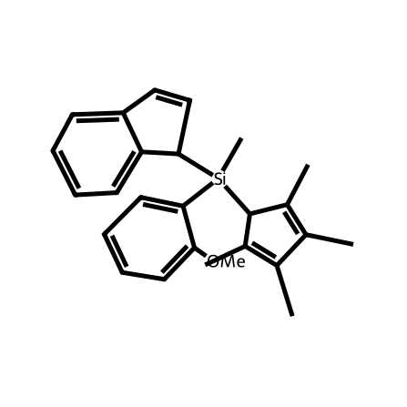 COc1ccccc1[Si](C)(C1C(C)=C(C)C(C)=C1C)C1C=Cc2ccccc21